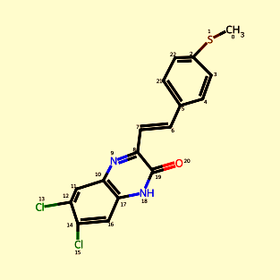 CSc1ccc(C=Cc2nc3cc(Cl)c(Cl)cc3[nH]c2=O)cc1